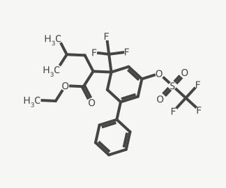 CCOC(=O)C(CC(C)C)C1(C(F)(F)F)C=C(OS(=O)(=O)C(F)(F)F)C=C(c2ccccc2)C1